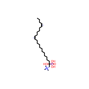 CCC/C=C\CCCC/C=C\CCCCCCCCCCCC(O)(C[N+](C)(C)C)P(=O)(O)O